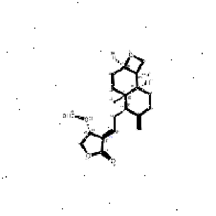 C=C1CC[C@@H]2[C@]3(C)CO[C@@H]3CC[C@@]2(C)[C@@H]1C/C=C1/C(=O)OC[C@@H]1OC=O